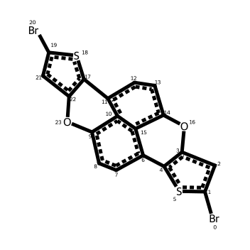 Brc1cc2c(s1)-c1ccc3c4c(ccc(c14)O2)-c1sc(Br)cc1O3